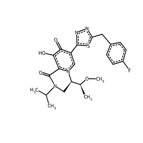 CO[C@@H](C)[C@H]1CN(C(C)C)C(=O)c2c(O)c(=O)c(-c3nnc(Cc4ccc(F)cc4)s3)cn21